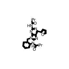 CC(C)C(=O)Nc1nc(-c2ccco2)c2ncn(Cc3ccccc3NC(=O)C(C)C)c2n1